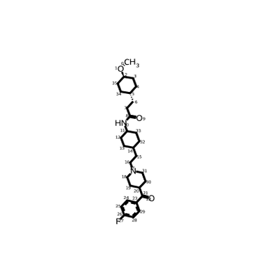 CO[C@H]1CC[C@H](CCC(=O)NC2CCC(CCN3CCC(C(=O)c4ccc(F)cc4)CC3)CC2)CC1